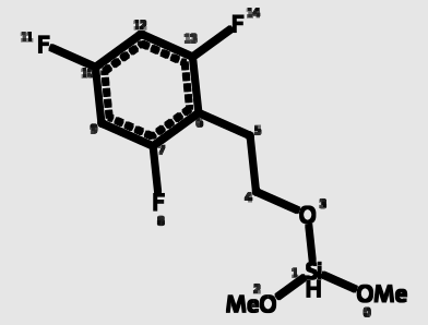 CO[SiH](OC)OCCc1c(F)cc(F)cc1F